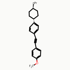 CCC[C@H]1CC[C@H](c2ccc(C#Cc3ccc(OC(F)(F)F)cc3)cc2)CC1